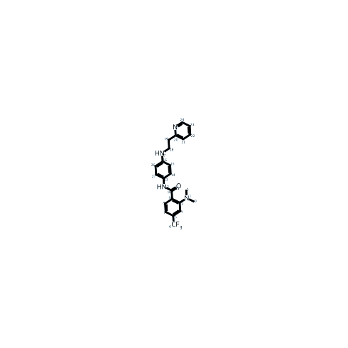 CN(C)c1cc(C(F)(F)F)ccc1C(=O)Nc1ccc(NCCc2ccccn2)cc1